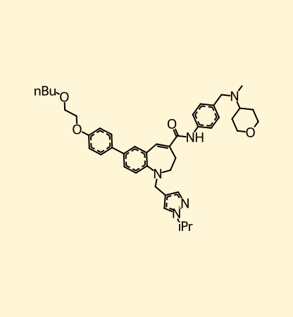 CCCCOCCOc1ccc(-c2ccc3c(c2)C=C(C(=O)Nc2ccc(CN(C)C4CCOCC4)cc2)CCN3Cc2cnn(C(C)C)c2)cc1